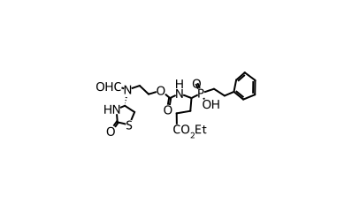 CCOC(=O)CCC(NC(=O)OCCN(C=O)[C@@H]1CSC(=O)N1)P(=O)(O)CCc1ccccc1